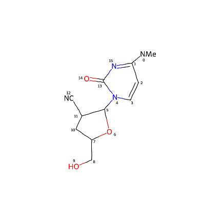 CNc1ccn(C2OC(CO)CC2C#N)c(=O)n1